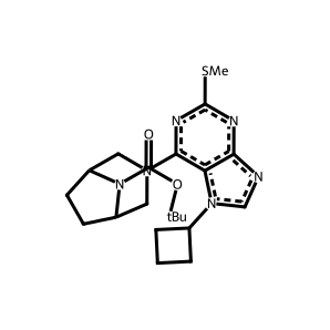 CSc1nc(N2CC3CCC(C2)N3C(=O)OC(C)(C)C)c2c(ncn2C2CCC2)n1